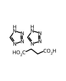 O=C(O)CCC(=O)O.c1nnn[nH]1.c1nnn[nH]1